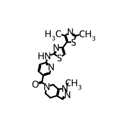 Cc1nc(C)c(-c2csc(Nc3ccc(C(=O)N4CCc5cnn(C)c5C4)cn3)n2)s1